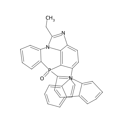 CCc1nc2ccc(-n3c4ccccc4c4ccccc43)c3c2n1-c1ccccc1P3(=O)c1ccccc1